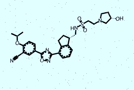 CC(C)Oc1ccc(-c2nc(-c3cccc4c3CC[C@@H]4CNS(=O)(=O)CCN3CC[C@H](O)C3)no2)cc1C#N